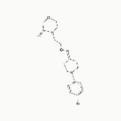 O=C1COCCN1CCON=C1CCN(c2ncc(Br)cn2)CC1